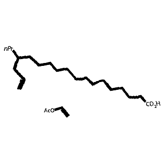 C=CCC(CCC)CCCCCCCCCCCCCC(=O)O.C=COC(C)=O